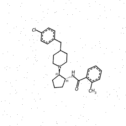 Cc1ccccc1C(=O)N[C@@H]1CCC[C@H]1N1CCC(Cc2ccc(Cl)cc2)CC1